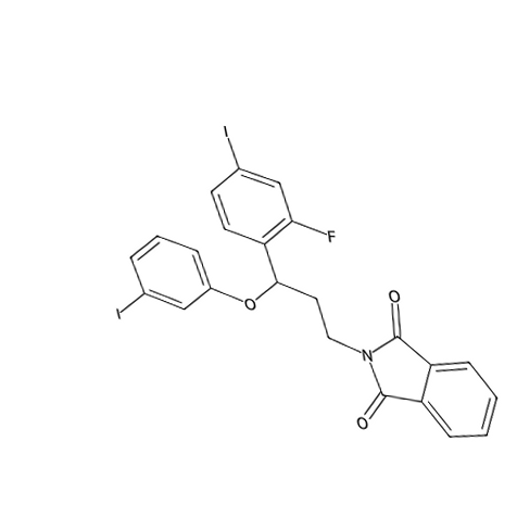 O=C1c2ccccc2C(=O)N1CCC(Oc1cccc(I)c1)c1ccc(I)cc1F